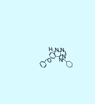 Nc1nccn2c(C3CCCCC3)nc(-c3cccc(OCc4ccccc4)c3)c12